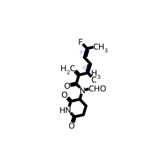 C=C(C(=O)N(C=O)C1CCC(=O)NC1=O)/C(C)=C\C=C(/C)F